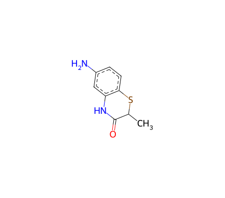 CC1Sc2ccc(N)cc2NC1=O